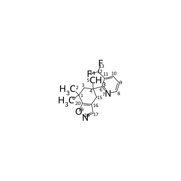 CC1(C)CC(C)(c2ncccc2C(F)F)Cc2cnoc21